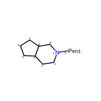 CCCC(C)N1CCC2CCCC2C1